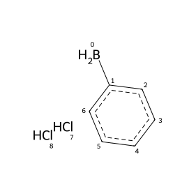 Bc1ccccc1.Cl.Cl